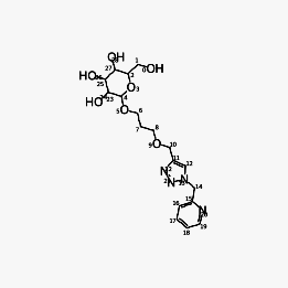 OCC1OC(OCCCOCc2cn(Cc3ccccn3)nn2)C(O)C(O)C1O